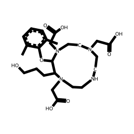 Cc1cccc(C)c1OC1C(CCCO)N(CC(=O)O)CCNCCN(CC(=O)O)CCN1CC(=O)O